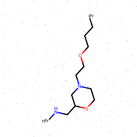 CCCNCC1CN(CCOCCCC(C)C)CCO1